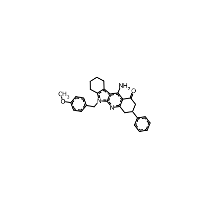 COc1ccc(Cn2c3c(c4c(N)c5c(nc42)CC(c2ccccc2)CC5=O)CCCC3)cc1